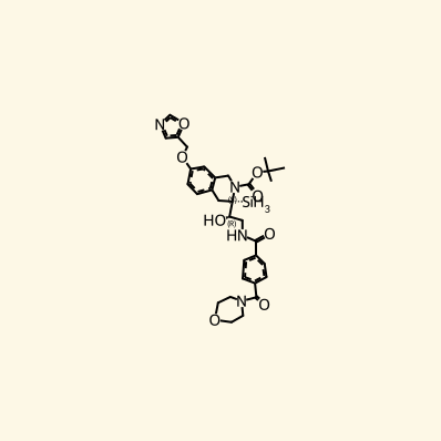 CC(C)(C)OC(=O)N1Cc2cc(OCc3cnco3)ccc2C[C@]1([SiH3])[C@H](O)CNC(=O)c1ccc(C(=O)N2CCOCC2)cc1